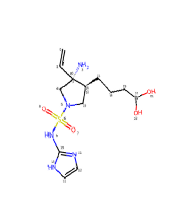 C=C[C@]1(N)CN(S(=O)(=O)Nc2ncc[nH]2)C[C@@H]1CCCB(O)O